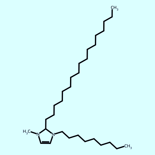 CCCCCCCCCCCCCCCCCC1N(C)C=CN1CCCCCCCCC